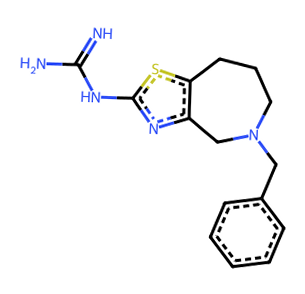 N=C(N)Nc1nc2c(s1)CCCN(Cc1ccccc1)C2